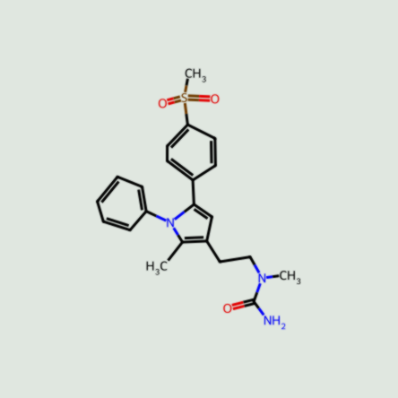 Cc1c(CCN(C)C(N)=O)cc(-c2ccc(S(C)(=O)=O)cc2)n1-c1ccccc1